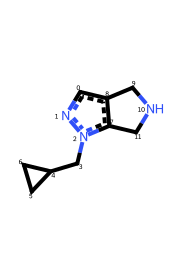 c1nn(CC2CC2)c2c1CNC2